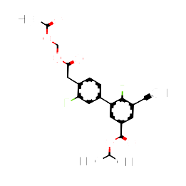 C#Cc1cc(C(=O)OC(C)C)cc(-c2ccc(CC(=O)OCOC(C)=O)c(F)c2)c1F